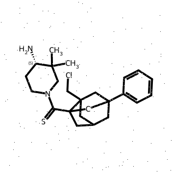 CC1(C)CN(C(=S)C23CC4CC(c5ccccc5)(CC2(CCl)C4)C3)CC[C@@H]1N